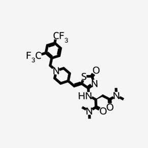 CN(C)C(=O)C[C@H](NC1=NC(=O)S/C1=C\C1CCN(Cc2ccc(C(F)(F)F)cc2C(F)(F)F)CC1)C(=O)N(C)C